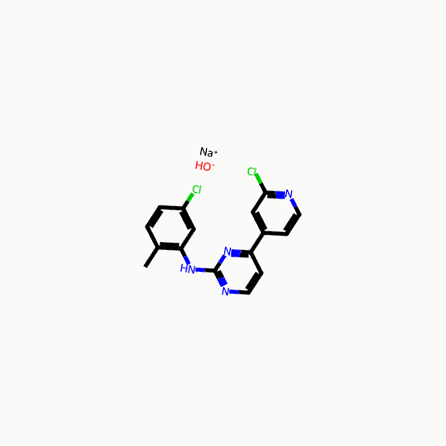 Cc1ccc(Cl)cc1Nc1nccc(-c2ccnc(Cl)c2)n1.[Na+].[OH-]